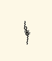 CCCCCCCCc1ccc(OCC2CCC(CCCCC)CC2)c(F)c1F